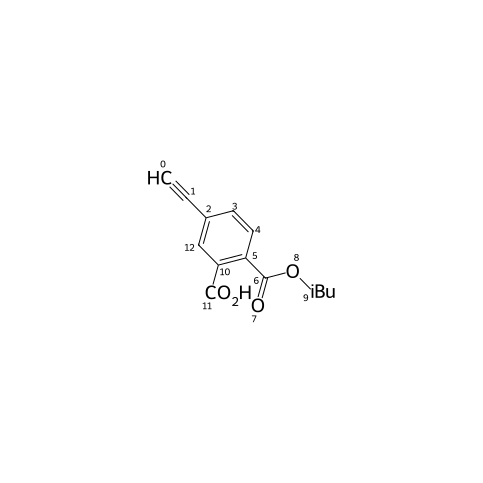 C#Cc1ccc(C(=O)OC(C)CC)c(C(=O)O)c1